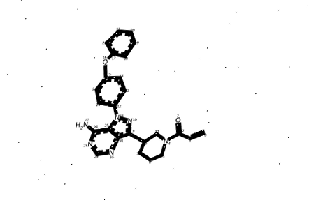 C=CC(=O)N1CCCC(c2nn(-c3ccc(Oc4ccccc4)cc3)c3c(N)ncnc23)C1